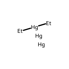 C[CH2][Hg][CH2]C.[Hg].[Hg]